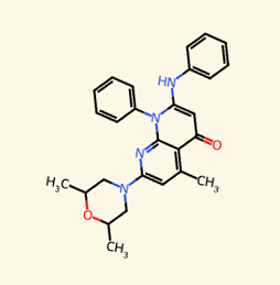 Cc1cc(N2CC(C)OC(C)C2)nc2c1c(=O)cc(Nc1ccccc1)n2-c1ccccc1